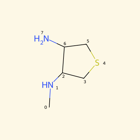 CNC1CSCC1N